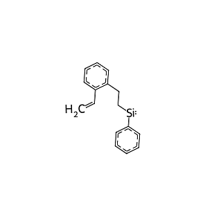 C=Cc1ccccc1CC[Si]c1ccccc1